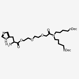 CCCCCCCCCCCCCCN(CCCCCCCCCCCCCC)C(=O)COCCOCCOC(=O)C(N)Cc1cnc[nH]1